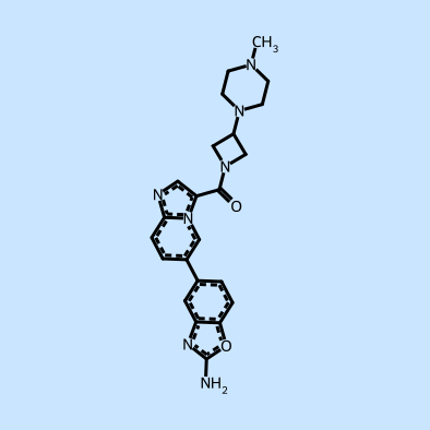 CN1CCN(C2CN(C(=O)c3cnc4ccc(-c5ccc6oc(N)nc6c5)cn34)C2)CC1